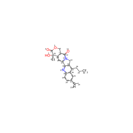 CC[C@@]1(O)C(=O)OCc2c1cc1n(c2=O)Cc2c-1nc1ccc([SiH](C)C)cc1c2CCC(F)(F)F